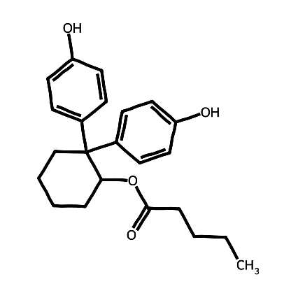 CCCCC(=O)OC1CCCCC1(c1ccc(O)cc1)c1ccc(O)cc1